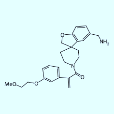 C=C(C(=O)N1CCC2(CC1)COc1ccc(CN)cc12)c1cccc(OCCOC)c1